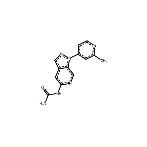 Cc1cc(-n2ncc3cc(NC(N)=O)ncc32)ccn1